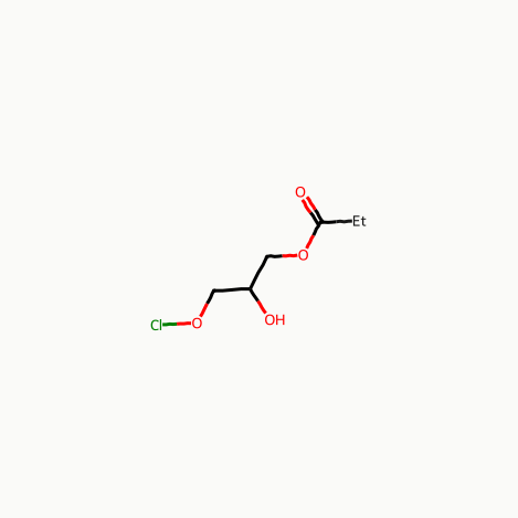 CCC(=O)OCC(O)COCl